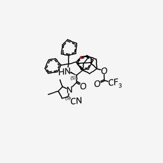 CC1C[C@@H](C#N)N(C(=O)[C@@H](NC(c2ccccc2)(c2ccccc2)c2ccccc2)C23CC4CC2CC(OC(=O)C(F)(F)F)(C4)C3)C1C